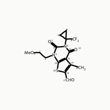 COCCn1c(=O)n(C2(C(F)(F)F)CC2)c(=O)c2c(C)c(C=O)sc21